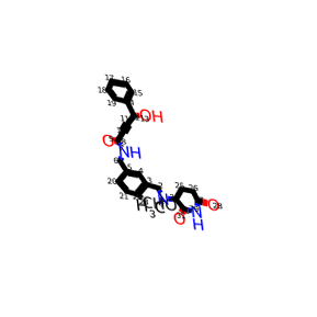 CN(Cc1cc(CNC(=O)C#CC(O)c2ccccc2)ccc1C=O)C1CCC(=O)NC1=O